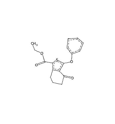 CCOC(=O)c1sc(Oc2ccccc2)c2c1CCCC2=O